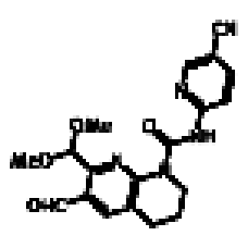 COC(OC)c1nc2c(cc1C=O)CCCN2C(=O)Nc1ccc(C#N)cn1